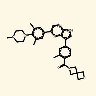 Cc1cc(-c2c[nH]c3ncc(-c4cc(C)c(N5CCN(C)CC5)c(C)c4)nc23)ccc1C(=O)N1CC2(COC2)C1